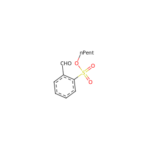 CCCCCOS(=O)(=O)c1ccccc1C=O